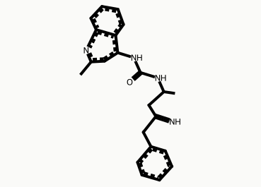 Cc1cc(NC(=O)NC(C)CC(=N)Cc2ccccc2)c2ccccc2n1